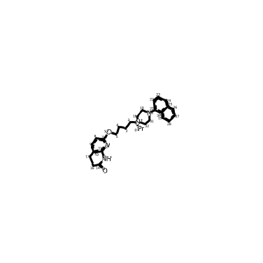 CC(C)[N+]1(CCCCOc2ccc3c(n2)NC(=O)CC3)CCN(c2cccc3ccccc23)CC1